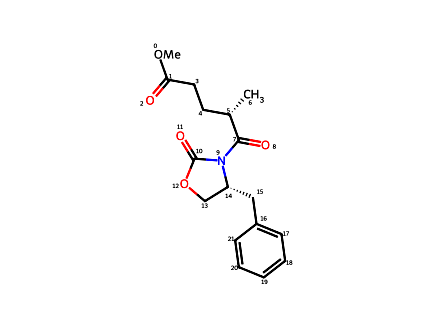 COC(=O)CC[C@H](C)C(=O)N1C(=O)OC[C@H]1Cc1ccccc1